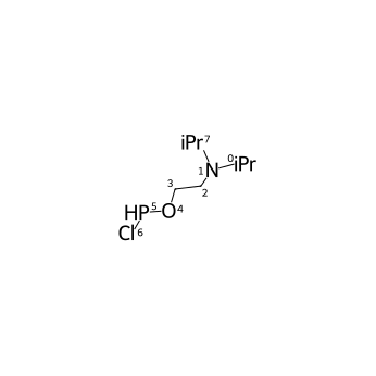 CC(C)N(CCOPCl)C(C)C